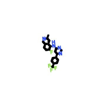 Cc1cc2c(Nc3cc(-c4ccc(C(F)(F)F)cc4)ncn3)c(F)ccc2cn1